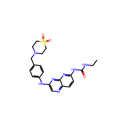 CCNC(=O)Nc1ccc2ncc(Nc3ccc(CN4CCS(=O)(=O)CC4)cc3)nc2n1